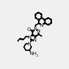 CC=CCn1c(N2CCCC(N)C2)nc2c(C)nn(Cc3nc4ccccc4c4ccccc34)c(=O)c21